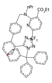 CCCN(Cc1ccc(-c2ccccc2-c2nnnn2C(c2ccccc2)(c2ccccc2)c2ccccc2)cc1)c1nc(C(F)(F)F)ccc1C(=O)OCC